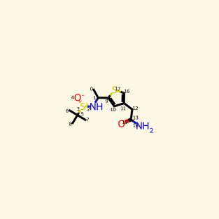 CC(N[S+]([O-])C(C)(C)C)c1cc(CC(N)=O)cs1